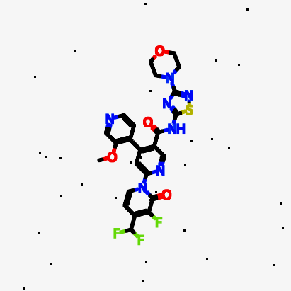 COc1cnccc1-c1cc(-n2ccc(C(F)F)c(F)c2=O)ncc1C(=O)Nc1nc(N2CCOCC2)ns1